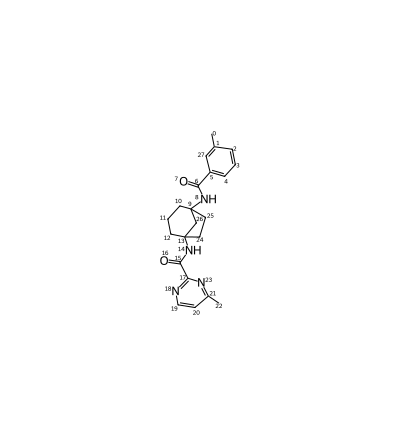 Cc1cccc(C(=O)NC23CCCC(NC(=O)c4nccc(C)n4)(CC2)C3)c1